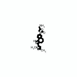 Cc1cc(-c2n[nH]c3c2CCCc2cc(N4CC(CN)OC4=O)ccc2-3)n(C)n1